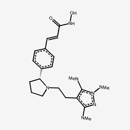 CNc1nn(NC)c(NC)c1CCN1CCC[C@@H]1c1ccc(/C=C/C(=O)NO)cc1